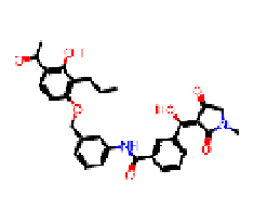 CCCc1c(OCc2cccc(NC(=O)c3cccc(/C(O)=C4/C(=O)CN(C)C4=O)c3)c2)ccc(C(C)=O)c1O